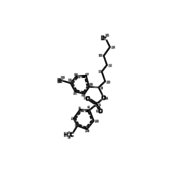 Cc1ccc(S(=O)(=O)OC(CCCCCBr)c2ccc(Br)cc2)cc1